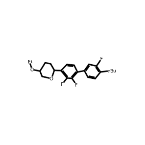 CCCCc1ccc(-c2ccc(C3CCC(OCC)CO3)c(F)c2F)cc1F